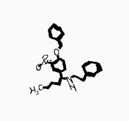 CCCCC(NCCc1ccccc1)c1ccc(OCc2ccccc2)c([N+](=O)[O-])c1